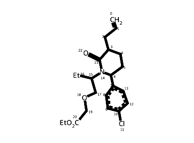 C=CCC1CCC(c2ccc(Cl)cc2)N(C(CC)COCC(=O)OCC)C1=O